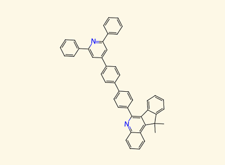 CC1(C)c2ccccc2-c2c(-c3ccc(-c4ccc(-c5cc(-c6ccccc6)nc(-c6ccccc6)c5)cc4)cc3)nc3ccccc3c21